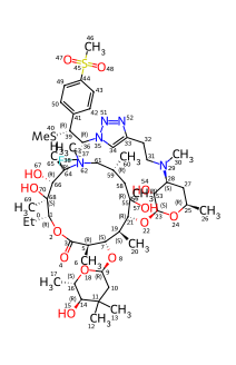 CC[C@H]1OC(=O)[C@H](C)[C@@H](O[C@H]2CC(C)(C)[C@@H](O)[C@H](C)O2)[C@H](C)[C@@H](O[C@@H]2O[C@H](C)C[C@H](N(C)CCc3cn([C@H](CF)[C@H](SC)c4ccc(S(C)(=O)=O)cc4)nn3)[C@H]2O)[C@](C)(O)C[C@@H](C)CN(C)[C@H](C)[C@@H](O)[C@]1(C)O